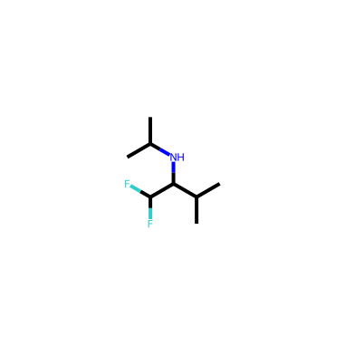 CC(C)NC(C(C)C)C(F)F